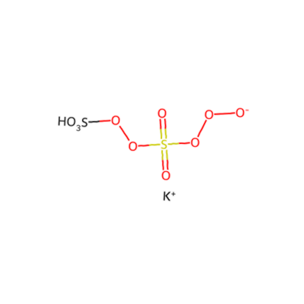 O=S(=O)(O)OOS(=O)(=O)OO[O-].[K+]